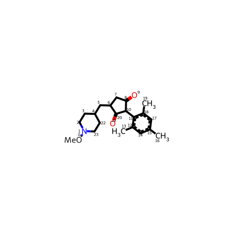 CON1CCC(CC2CC(=O)C(c3c(C)cc(C)cc3C)C2=O)CC1